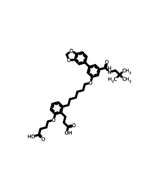 CC(C)(C)CNC(=O)c1cc(OCCCCCCc2cccc(OCCCC(=O)O)c2CCC(=O)O)cc(-c2ccc3c(c2)OCO3)c1